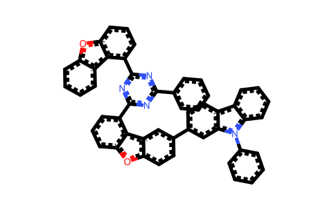 c1ccc(-c2nc(-c3cccc4oc5ccccc5c34)nc(-c3cccc4oc5ccc(-c6ccc7c8ccccc8n(-c8ccccc8)c7c6)cc5c34)n2)cc1